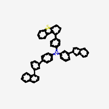 c1cc(-c2ccc(N(c3ccc(-c4cccc5sc6ccccc6c45)cc3)c3cccc(-c4ccc5ccccc5c4)c3)cc2)cc(-c2cccc3ccccc23)c1